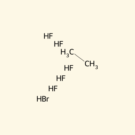 Br.CC.F.F.F.F.F